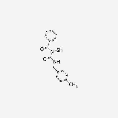 Cc1ccc(CNC(=O)N(S)C(=O)c2ccccc2)cc1